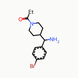 CCC(=O)N1CCC(C(N)c2ccc(Br)cc2)CC1